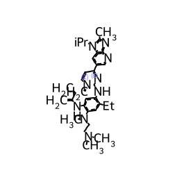 C=CC(=C)Nc1cc(NC/N=C(\C=C/N=C)c2cnc3nc(C)n(C(C)C)c3c2)c(CC)cc1N(C)CCN(C)C